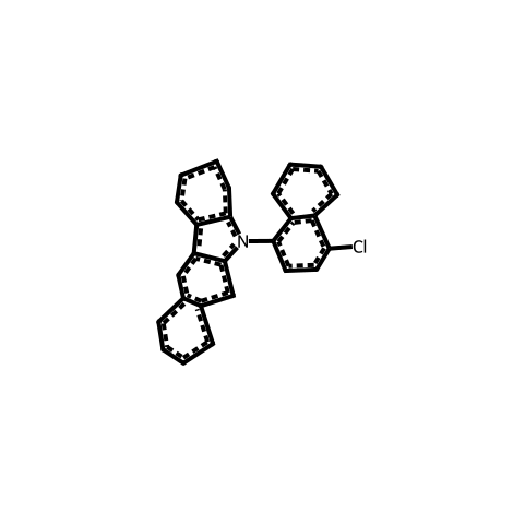 Clc1ccc(-n2c3ccccc3c3cc4ccccc4cc32)c2ccccc12